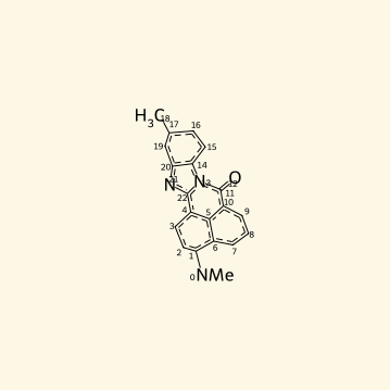 CNc1ccc2c3c1cccc3c(=O)n1c3ccc(C)cc3nc21